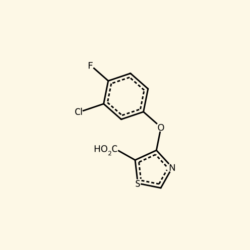 O=C(O)c1scnc1Oc1ccc(F)c(Cl)c1